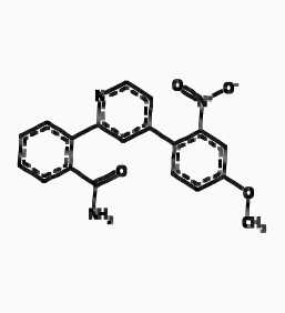 COc1ccc(-c2ccnc(-c3ccccc3C(N)=O)c2)c([N+](=O)[O-])c1